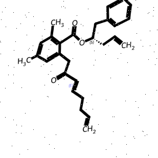 C=CCC/C=C/C(=O)Cc1cc(C)cc(C)c1C(=O)O[C@@H](CC=C)Cc1ccccc1